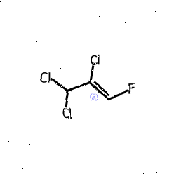 F/C=C(\Cl)[C](Cl)Cl